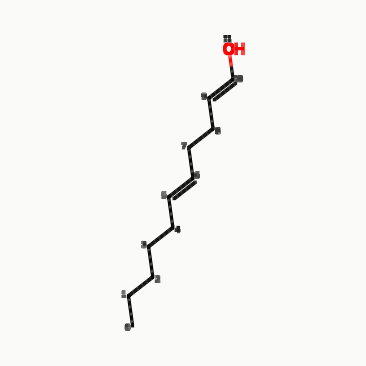 CCCCCC=CCCC=CO